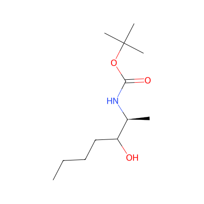 CCCCC(O)[C@H](C)NC(=O)OC(C)(C)C